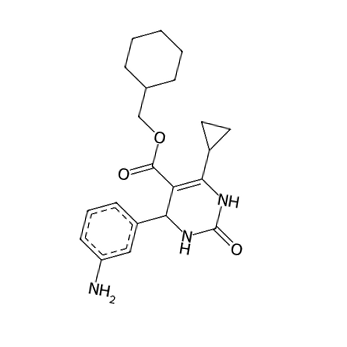 Nc1cccc(C2NC(=O)NC(C3CC3)=C2C(=O)OCC2CCCCC2)c1